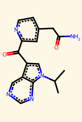 CC(C)n1cc(C(=O)c2cc(CC(N)=O)ccn2)c2cncnc21